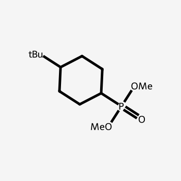 COP(=O)(OC)C1CCC(C(C)(C)C)CC1